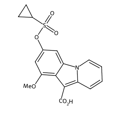 COc1cc(OS(=O)(=O)C2CC2)cc2c1c(C(=O)O)c1ccccn12